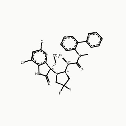 C[C@@H](C(=O)N(C)c1ccccc1-c1ccccc1)[C@H]1CC(F)(F)CN1[C@@]1(CC(=O)O)C(=O)Nc2c(Cl)cc(Cl)cc21